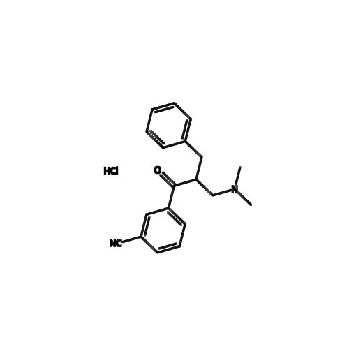 CN(C)CC(Cc1ccccc1)C(=O)c1cccc(C#N)c1.Cl